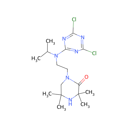 CC(C)N(CCN1CC(C)(C)NC(C)(C)C1=O)c1nc(Cl)nc(Cl)n1